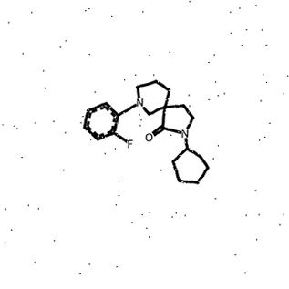 O=C1N(C2CCCCC2)CCC12CCCN(c1ccccc1F)C2